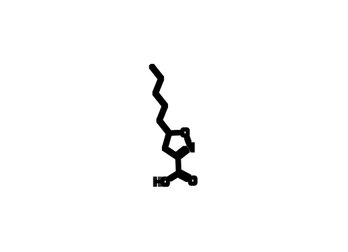 CCCCCC1CC(C(=O)O)=NO1